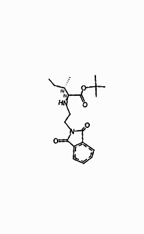 CC[C@H](C)[C@H](NCCN1C(=O)c2ccccc2C1=O)C(=O)OC(C)(C)C